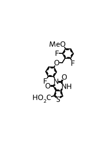 COc1ccc(F)c(COc2ccc(F)c(-n3c(=O)[nH]c4csc(C(=O)O)c4c3=O)c2)c1F